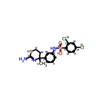 CC1(c2cccc(NS(=O)(=O)c3ccc(Cl)cc3Cl)c2)CCSC(N)=N1